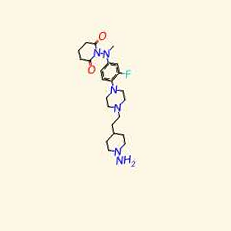 CN(c1ccc(N2CCN(CCC3CCN(N)CC3)CC2)c(F)c1)N1C(=O)CCCC1=O